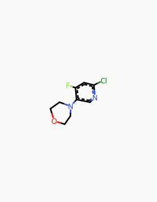 Fc1cc(Cl)ncc1N1CCOCC1